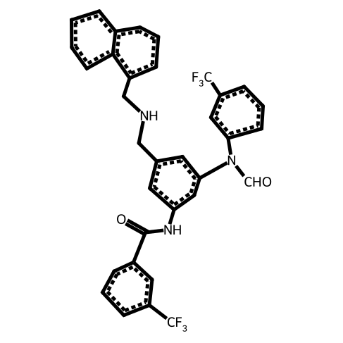 O=CN(c1cc(CNCc2cccc3ccccc23)cc(NC(=O)c2cccc(C(F)(F)F)c2)c1)c1cccc(C(F)(F)F)c1